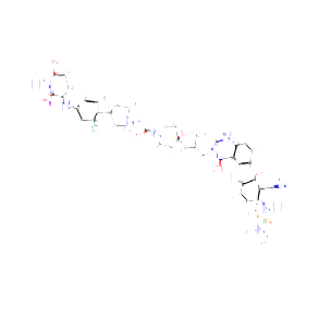 CCN(C)S(=O)(=O)Nc1ccc(F)c(Oc2ccc3ncn(CC4COC5(CCN(C(=O)CN6CCC(c7ccc(NC8CCC(=O)NC8=O)cc7F)CC6)CC5)C4)c(=O)c3c2)c1C#N